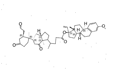 C=C[C@@]1(OC(=O)CCC(C)C2CC[C@H]3C[C@@H]([C@@]4(C)CCC(=O)C[C@H]4CC=O)CC(=O)[C@]23C)CC[C@@H]2[C@H]3CCc4cc(OC)ccc4[C@@H]3CC[C@]21C